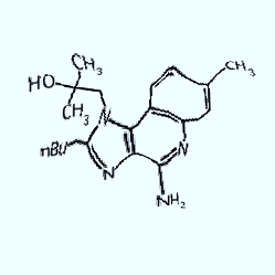 CCCCc1nc2c(N)nc3cc(C)ccc3c2n1CC(C)(C)O